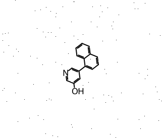 Oc1cncc(-c2cccc3ccccc23)c1